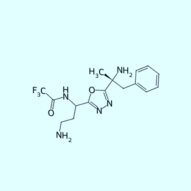 C[C@@](N)(Cc1ccccc1)c1nnc(C(CCN)NC(=O)C(F)(F)F)o1